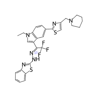 CCn1cc(/C(=N/Nc2nc3ccccc3s2)C(F)(F)F)c2cc(-c3nc(CN4CCCCC4)cs3)ccc21